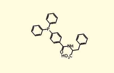 O=C(NC(Cc1ccccc1)C(=O)O)c1ccc(P(c2ccccc2)c2ccccc2)cc1